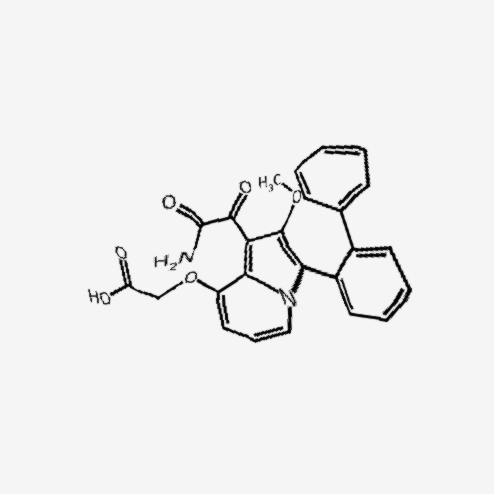 COc1c(C(=O)C(N)=O)c2c(OCC(=O)O)cccn2c1-c1ccccc1-c1ccccc1